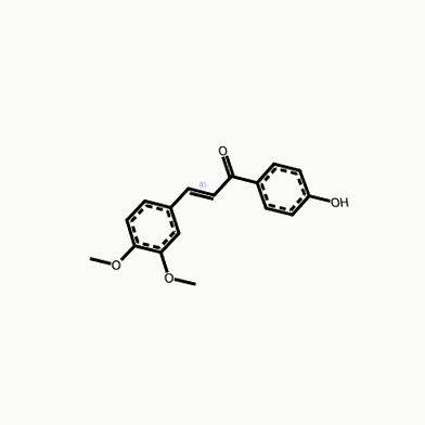 COc1ccc(/C=C/C(=O)c2ccc(O)cc2)cc1OC